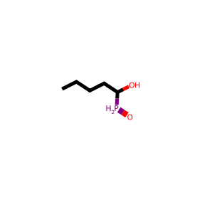 CCCCC(O)[PH2]=O